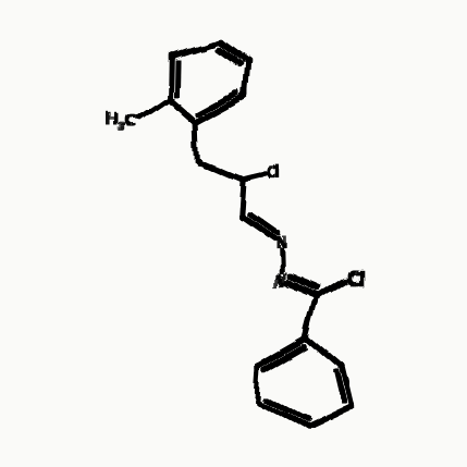 Cc1ccccc1CC(Cl)C=NN=C(Cl)c1ccccc1